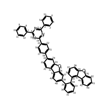 c1ccc(-c2nc(-c3ccccc3)nc(-c3ccc(-c4ccc5c(c4)oc4cc(-c6ccccc6-c6cccc7oc8ccccc8c67)ccc45)cc3)n2)cc1